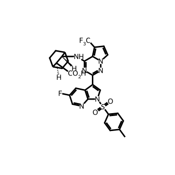 Cc1ccc(S(=O)(=O)n2cc(-c3nc(N[C@H]4C5CCC(CC5)[C@@H]4C(=O)O)c4c(C(F)(F)F)ccn4n3)c3cc(F)cnc32)cc1